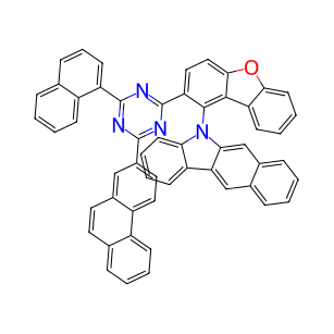 c1ccc2cc3c(cc2c1)c1ccccc1n3-c1c(-c2nc(-c3ccc4c(ccc5ccccc54)c3)nc(-c3cccc4ccccc34)n2)ccc2oc3ccccc3c12